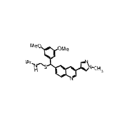 COc1cc(OC)cc(C(SCNC(C)C)c2ccc3ncc(-c4cnn(C)c4)cc3c2)c1